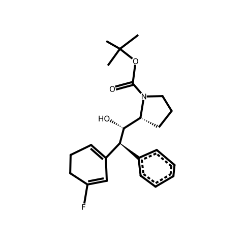 CC(C)(C)OC(=O)N1CCC[C@@H]1[C@@H](O)[C@H](C1=CCCC(F)=C1)c1ccccc1